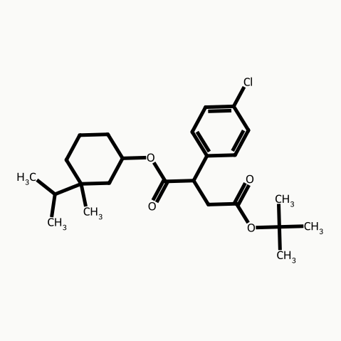 CC(C)C1(C)CCCC(OC(=O)C(CC(=O)OC(C)(C)C)c2ccc(Cl)cc2)C1